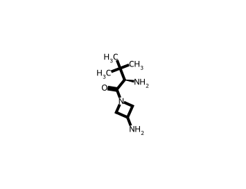 CC(C)(C)[C@@H](N)C(=O)N1CC(N)C1